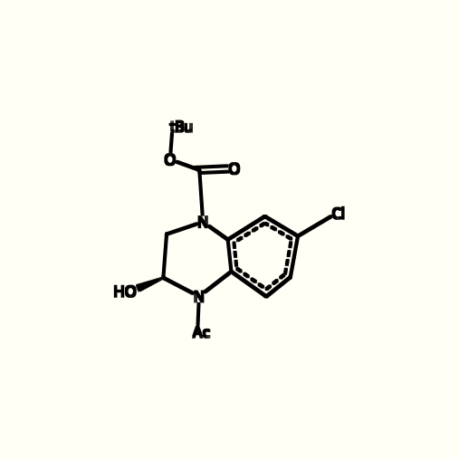 CC(=O)N1c2ccc(Cl)cc2N(C(=O)OC(C)(C)C)C[C@@H]1O